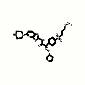 COCCCS(=O)(=O)c1ccc(/C(=N\O[C@@H]2CCOC2)C(=O)Nc2nc3ccc(N4CCNCC4)nc3s2)cc1